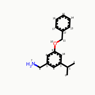 CC(C)c1cc(CN)cc(OCc2ccccc2)c1